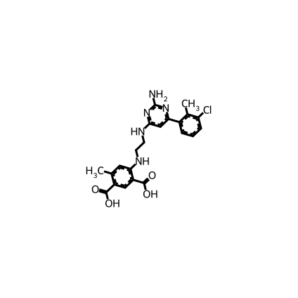 Cc1cc(NCCNc2cc(-c3cccc(Cl)c3C)nc(N)n2)c(C(=O)O)cc1C(=O)O